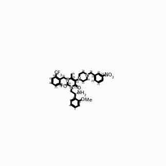 COc1ccccc1[C@@H](N)Cn1c(=O)c(N2CCN(Cc3cccc([N+](=O)[O-])c3)CC2)c(C)n(Cc2c(F)cccc2C(F)(F)F)c1=O